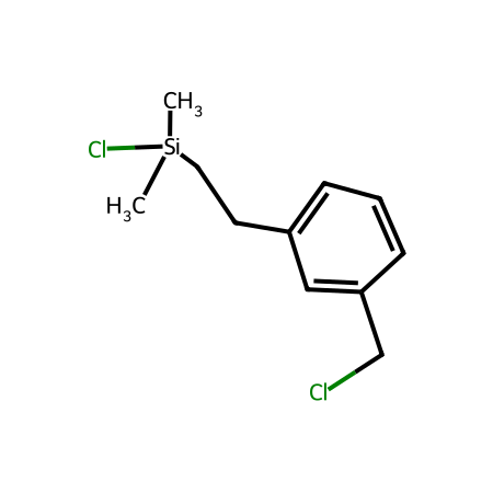 C[Si](C)(Cl)CCc1cccc(CCl)c1